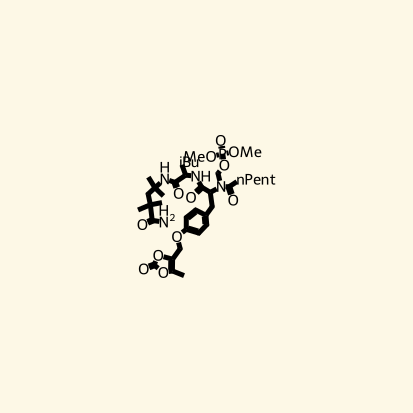 CCCCCC(=O)N(COP(=O)(OC)OC)C(Cc1ccc(OCc2oc(=O)oc2C)cc1)C(=O)NC(C(=O)NC(C)(C)CC(C)(C)C(N)=O)C(C)CC